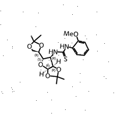 COc1ccccc1NC(=S)N[C@H]1[C@H]2OC(C)(C)O[C@H]2O[C@@H]1[C@H]1COC(C)(C)O1